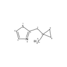 [CH2]C1(Cc2nccs2)CC1